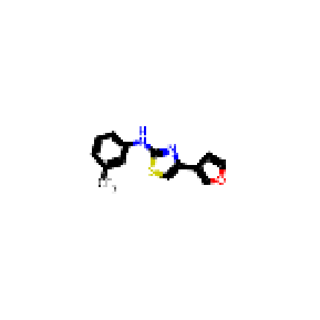 FC(F)(F)c1cccc(Nc2nc(-c3ccoc3)cs2)c1